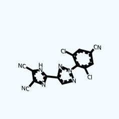 N#Cc1cc(Cl)c(-n2ncc(-c3nc(C#N)c(C#N)[nH]3)n2)c(Cl)c1